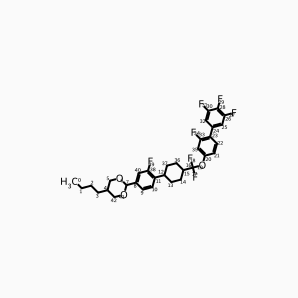 CCCCC1COC(c2ccc(C3CCC(C(F)(F)Oc4ccc(-c5cc(F)c(F)c(F)c5)c(F)c4)CC3)c(F)c2)OC1